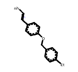 CCC/C=C/c1ccc(OCc2ccc(CC)cc2)cc1